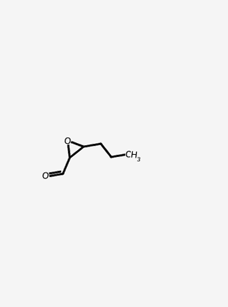 CCCC1OC1C=O